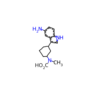 CN(C(=O)O)C1CCCC(c2c[nH]c3ccc(N)cc23)C1